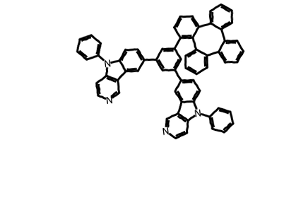 c1ccc(-n2c3ccncc3c3cc(-c4cc(-c5ccc6c(c5)c5cnccc5n6-c5ccccc5)cc(-c5cccc6c5-c5ccccc5-c5ccccc5-c5ccccc5-6)c4)ccc32)cc1